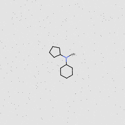 [CH2]CCN(C1CCCCC1)C1CCCC1